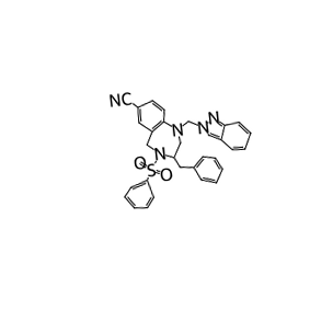 N#Cc1ccc2c(c1)CN(S(=O)(=O)c1ccccc1)C(Cc1ccccc1)CN2Cn1cc2ccccc2n1